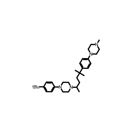 CC(CCC(C)(C)c1ccc(N2CCN(C)CC2)cc1)N1CCN(c2ccc(C(C)(C)C)cc2)CC1